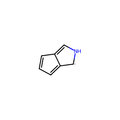 [C]1NC=C2C=CC=C12